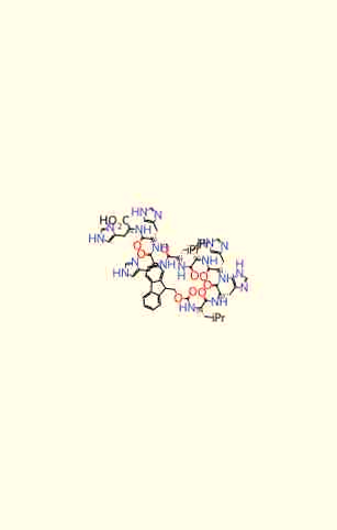 CC(C)C[C@H](NC(=O)OCC1c2ccccc2-c2ccccc21)C(=O)N[C@@H](Cc1c[nH]cn1)C(=O)N[C@@H](Cc1c[nH]cn1)C(=O)N[C@@H](CC(C)C)C(=O)N[C@@H](CC(C)C)C(=O)N[C@@H](Cc1c[nH]cn1)C(=O)N[C@@H](Cc1c[nH]cn1)C(=O)N[C@@H](Cc1c[nH]cn1)C(=O)O